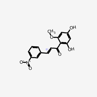 COc1cc(O)cc(O)c1C(=O)/C=C/c1cccc([N+](=O)[O-])c1